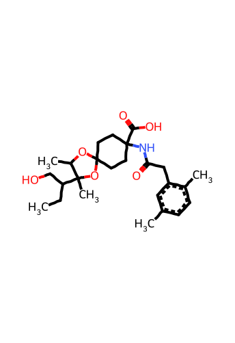 CCC(CO)C1(C)OC2(CCC(NC(=O)Cc3cc(C)ccc3C)(C(=O)O)CC2)OC1C